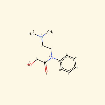 CN(C)CCN(C(=O)CO)c1ccccc1